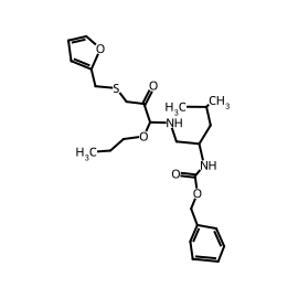 CCCOC(NCC(CC(C)C)NC(=O)OCc1ccccc1)C(=O)CSCc1ccco1